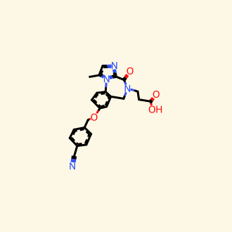 Cc1cnc2n1-c1ccc(OCc3ccc(C#N)cc3)cc1CN(CCC(=O)O)C2=O